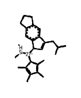 CC1=C(C)[CH]([Zr+]([CH]2C=C(CC(C)C)c3cc4c(cc32)CCC4)[SiH](C)C)C(C)=C1C